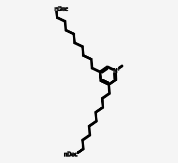 CCCCCCCCCCCCCCCCCCCc1cc(CCCCCCCCCCCCCCCCCCC)c[n+](C)c1